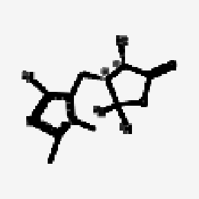 [2H]c1nc(C)n(C)c1C[C@@H]1[C@H](CC)C(=O)OC1([2H])[2H]